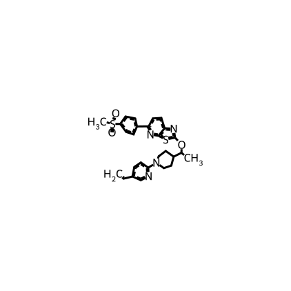 C=Cc1ccc(N2CCC(C(C)Oc3nc4ccc(-c5ccc(S(C)(=O)=O)cc5)nc4s3)CC2)nc1